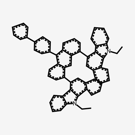 CCn1c2ccccc2c2c(-c3cccc4c(-c5ccc(-c6ccccc6)cc5)c5cccc(-c6cc7ccccc7c7c6c6ccccc6n7CC)c5cc34)cc3ccccc3c21